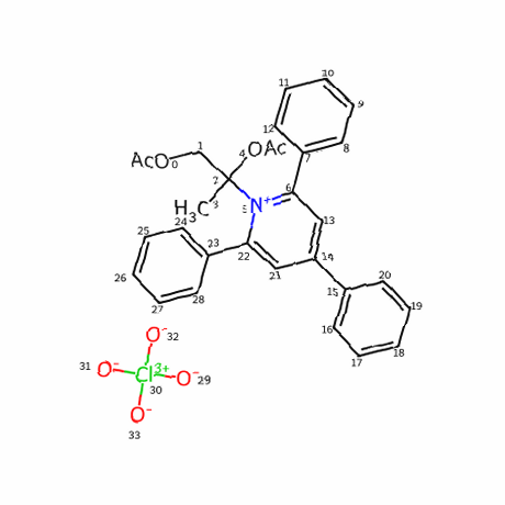 CC(=O)OCC(C)(OC(C)=O)[n+]1c(-c2ccccc2)cc(-c2ccccc2)cc1-c1ccccc1.[O-][Cl+3]([O-])([O-])[O-]